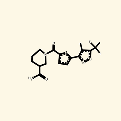 Cc1c(-c2ccc(C(=O)N3CCCC(C(N)=O)C3)s2)noc1C(C)(F)F